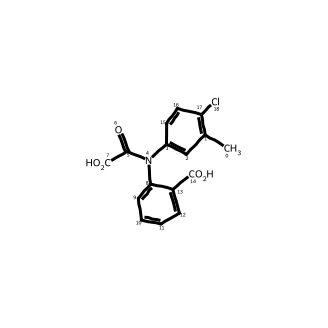 Cc1cc(N(C(=O)C(=O)O)c2ccccc2C(=O)O)ccc1Cl